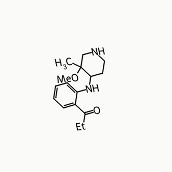 CCC(=O)c1ccccc1NC1CCNCC1(C)OC